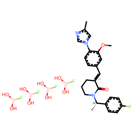 COc1cc(/C=C2\CCCN([C@@H](C)c3ccc(F)cc3)C2=O)ccc1-n1cnc(C)c1.OB(O)F.OB(O)F.OB(O)F.OB(O)F